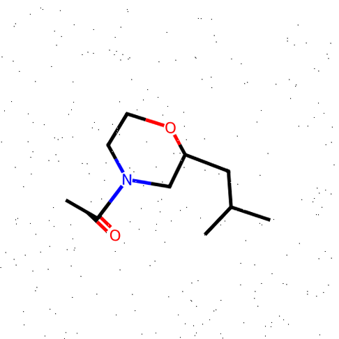 CC(=O)N1CCOC(CC(C)C)C1